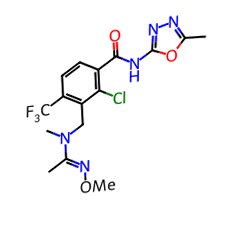 CON=C(C)N(C)Cc1c(C(F)(F)F)ccc(C(=O)Nc2nnc(C)o2)c1Cl